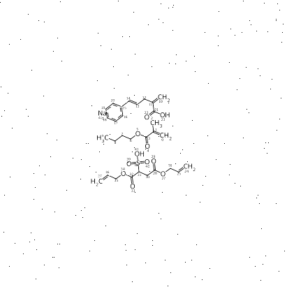 C=C(C)C(=O)OCCCC.C=C(CC=Cc1ccccc1)C(=O)O.C=CCOC(=O)CC(C(=O)OCC=C)S(=O)(=O)O.[Na]